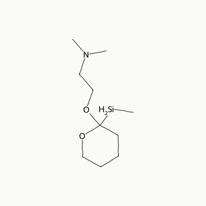 C[SiH2]C1(OCCN(C)C)CCCCO1